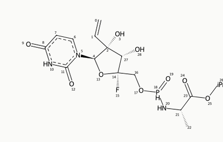 C=C[C@]1(O)[C@H](n2ccc(=O)[nH]c2=O)O[C@](F)(CO[PH](=O)N[C@@H](C)C(=O)OC(C)C)[C@H]1O